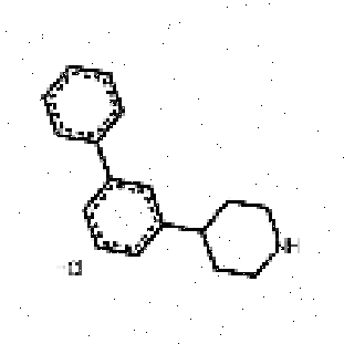 Cl.c1ccc(-c2cccc(C3CCNCC3)c2)cc1